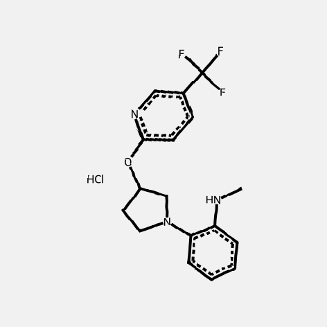 CNc1ccccc1N1CCC(Oc2ccc(C(F)(F)F)cn2)C1.Cl